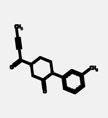 CC#CC(=O)N1CCN(c2cccc(C)c2)C(=O)C1